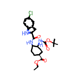 CCOC(=O)[C@H]1CCC(NC(=O)c2cc3cc(Cl)ccc3[nH]2)C(NC(=O)OC(C)(C)C)C1